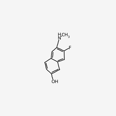 CNc1cc2ccc(O)cc2cc1F